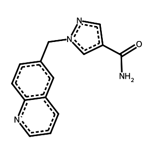 NC(=O)c1cnn(Cc2ccc3ncccc3c2)c1